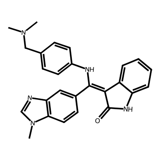 CN(C)Cc1ccc(NC(=C2C(=O)Nc3ccccc32)c2ccc3c(c2)ncn3C)cc1